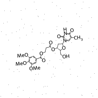 COc1cc(C(=O)OCCC(=O)OC2CC(n3cc(C)c(=O)[nH]c3=O)OC2CO)cc(OC)c1OC